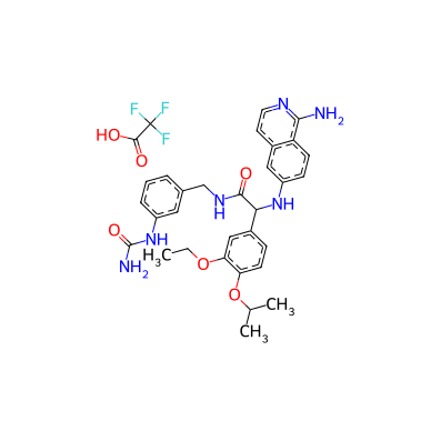 CCOc1cc(C(Nc2ccc3c(N)nccc3c2)C(=O)NCc2cccc(NC(N)=O)c2)ccc1OC(C)C.O=C(O)C(F)(F)F